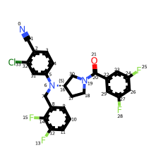 N#Cc1ccc(N(Cc2cccc(F)c2F)[C@H]2CCN(C(=O)c3cc(F)cc(F)c3)C2)cc1Cl